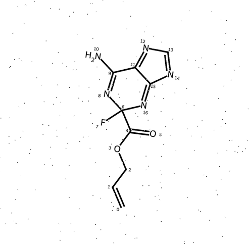 C=CCOC(=O)C1(F)N=C(N)C2=NC=NC2=N1